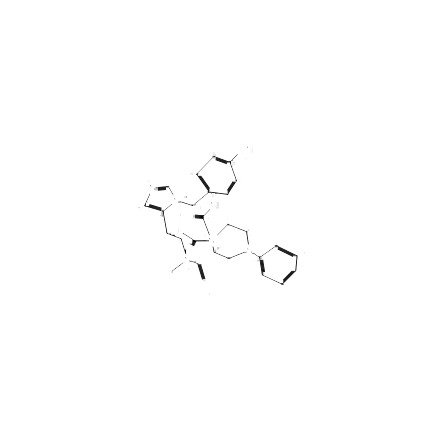 CCC(=O)[N+]1(C(N)=O)CCN(c2ccccc2)C[C@@H]1C(=O)N(C)CCc1cncn1Cc1ccc(C#N)cc1